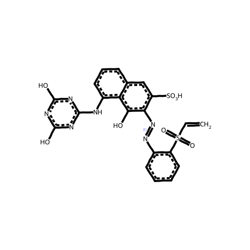 C=CS(=O)(=O)c1ccccc1/N=N/c1c(S(=O)(=O)O)cc2cccc(Nc3nc(O)nc(O)n3)c2c1O